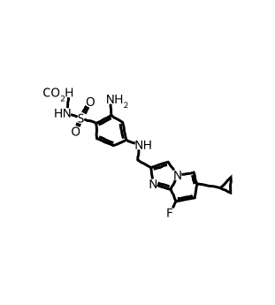 Nc1cc(NCc2cn3cc(C4CC4)cc(F)c3n2)ccc1S(=O)(=O)NC(=O)O